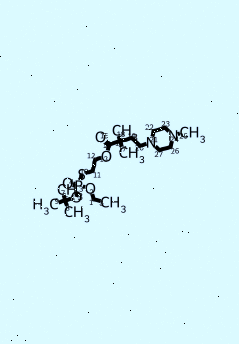 CCOP(=O)(OC(C)(C)C)SCCOC(=O)C(C)(C)CCN1CCN(C)CC1